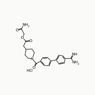 Cl.N=C(N)c1ccc(-c2ccc(C(=O)N3CCC(CC(=O)OCC(N)=O)CC3)cc2)cc1